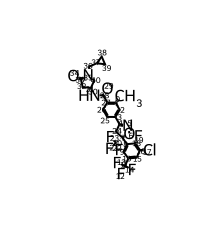 Cc1cc(C2=NO[C@](c3cc(C(F)(F)F)cc(Cl)c3F)(C(F)(F)F)C2)ccc1C(=O)N[C@H]1CC(=O)N(CC2CC2)C1